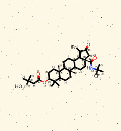 CC(C)C1=C2C3CCC4[C@@](C)(CCC5C(C)(C)[C@@H](OC(=O)CC(C)(C)C(=O)O)CC[C@@]54C)C3CC[C@@]2(C(=O)NC(C)(C)C(F)(F)F)CC1=O